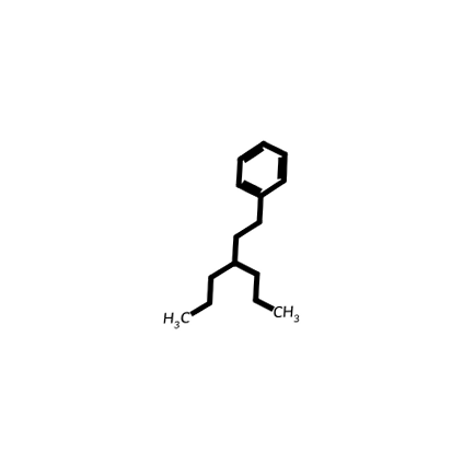 CCC[C](CCC)CCc1ccccc1